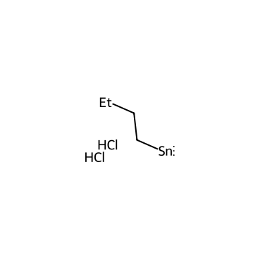 CCC[CH2][Sn].Cl.Cl